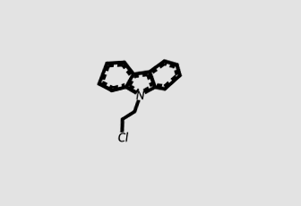 ClCCn1c2ccccc2c2ccccc21